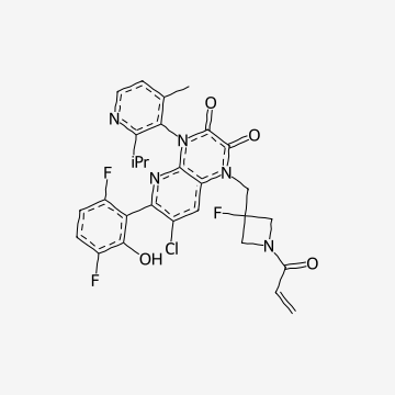 C=CC(=O)N1CC(F)(Cn2c(=O)c(=O)n(-c3c(C)ccnc3C(C)C)c3nc(-c4c(F)ccc(F)c4O)c(Cl)cc32)C1